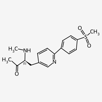 CN[C@@H](Cc1ccc(-c2ccc(S(C)(=O)=O)cc2)nc1)C(C)=O